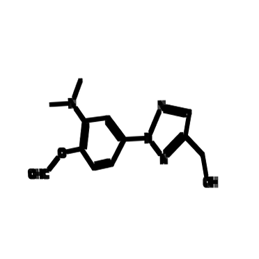 CN(C)c1cc(-n2ncc(CO)n2)ccc1OC=O